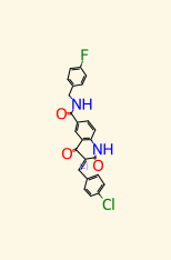 O=C1Nc2ccc(C(=O)NCc3ccc(F)cc3)cc2C(=O)/C1=C/c1ccc(Cl)cc1